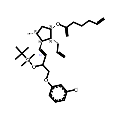 C=CCCCC(=C)O[C@H]1C[C@@H](C)[C@H](/C=C/C(COc2cccc(Cl)c2)O[Si](C)(C)C(C)(C)C)[C@H]1CC=C